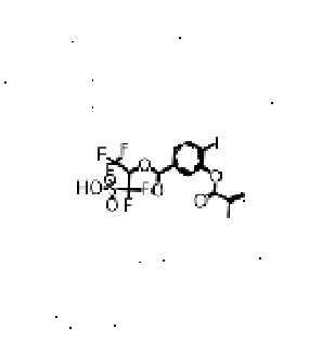 C=C(C)C(=O)Oc1cc(C(=O)OC(C(F)(F)F)C(F)(F)S(=O)(=O)O)ccc1I